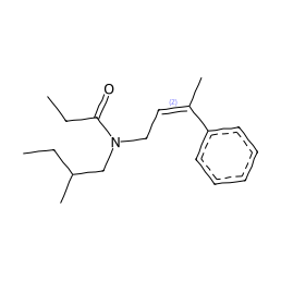 CCC(=O)N(C/C=C(/C)c1ccccc1)CC(C)CC